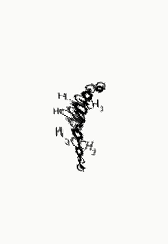 CC(C)(c1ccc(OCC(O)COc2ccc(C(C)(C)c3ccc(OC4CCO4)cc3)cc2)cc1)c1ccc(OCC2CO2)cc1